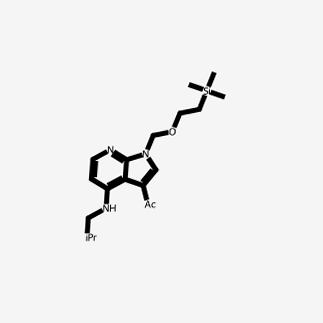 CC(=O)c1cn(COCC[Si](C)(C)C)c2nccc(NCC(C)C)c12